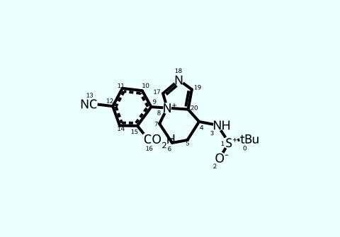 CC(C)(C)[S+]([O-])NC1CCC[N+]2(c3ccc(C#N)cc3C(=O)O)C=NC=C12